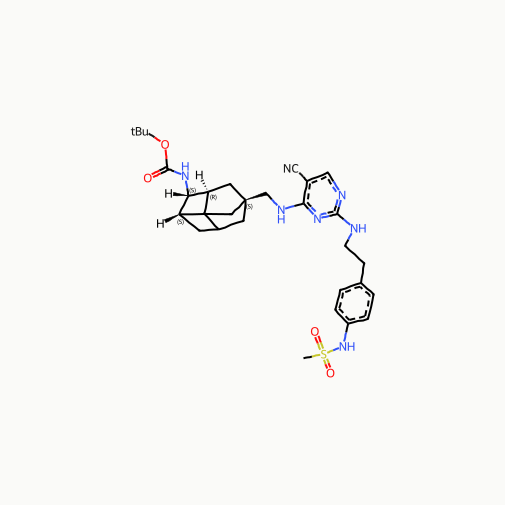 CC(C)(C)OC(=O)N[C@@H]1[C@@H]2CC3C[C@H]1C[C@@](CNc1nc(NCCc4ccc(NS(C)(=O)=O)cc4)ncc1C#N)(C3)C2